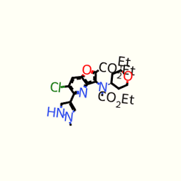 CCOC(=O)c1oc2cc(Cl)c(C3=CN(C)NC3)nc2c1N(C(=O)OCC)[C@H]1CCO[C@@H](CC)C1